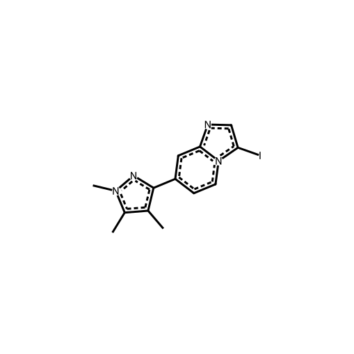 Cc1c(-c2ccn3c(I)cnc3c2)nn(C)c1C